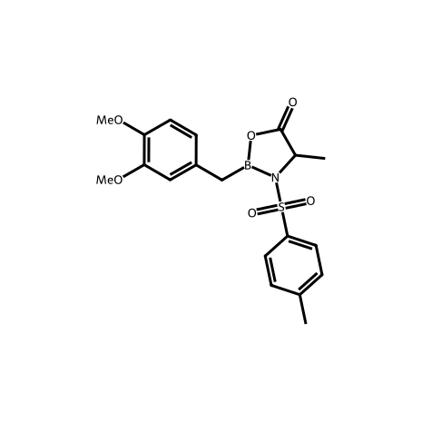 COc1ccc(CB2OC(=O)C(C)N2S(=O)(=O)c2ccc(C)cc2)cc1OC